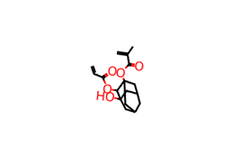 C=CC(=O)OC1C2(O)CC3CC(C2)CC1(OC(=O)C(=C)C)C3